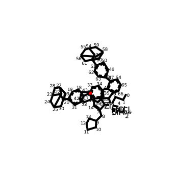 CC[CH2][Zr]([CH3])(=[SiH2])([CH]1C(CC2CCCC2)=Cc2c(-c3ccc(C45CC6CC(CC(C6)C4)C5)cc3)cccc21)[CH]1C(CC2CCCC2)=Cc2c(-c3ccc(C45CC6CC(CC(C6)C4)C5)cc3)cccc21.Cl.Cl